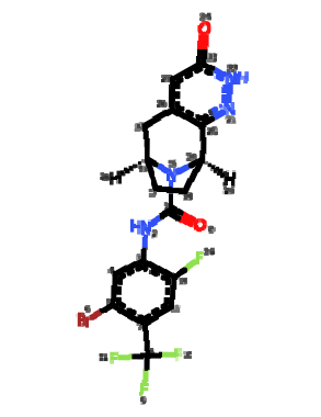 O=C(Nc1cc(Br)c(C(F)(F)F)cc1F)N1[C@H]2CC[C@@H]1c1n[nH]c(=O)cc1C2